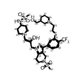 CS(=O)(=O)NC1CCN(CC(O)Cn2nc(-c3ccc(C(F)(F)F)c(SCCN4CCCC(CO)C4)c3)c3c2CCN(S(C)(=O)=O)C3)CC1